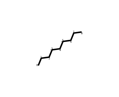 CCC[CH]C[CH]CCC